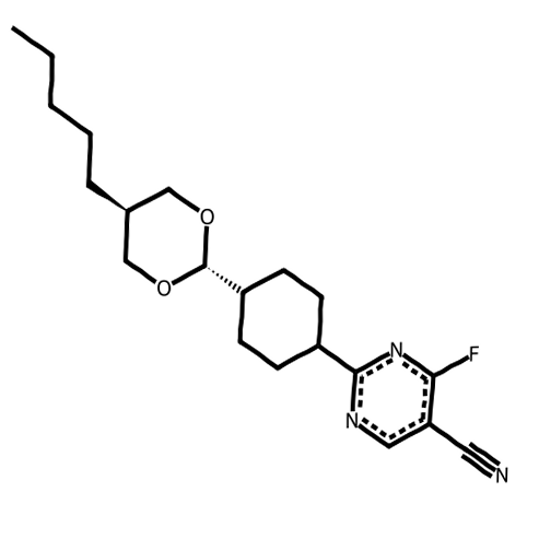 CCCCC[C@H]1CO[C@H](C2CCC(c3ncc(C#N)c(F)n3)CC2)OC1